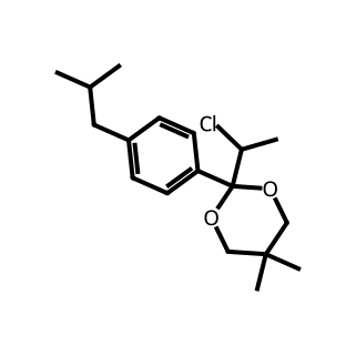 CC(C)Cc1ccc(C2(C(C)Cl)OCC(C)(C)CO2)cc1